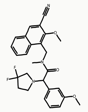 COc1cccc(C(C(=O)N(C)Cc2c(OC)c(C#N)cc3ccccc23)N2CCC(F)(F)C2)c1